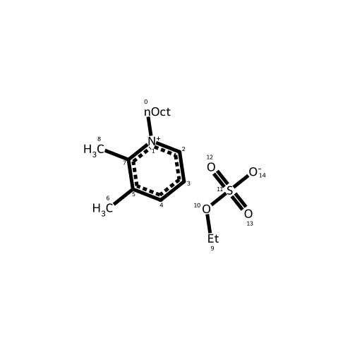 CCCCCCCC[n+]1cccc(C)c1C.CCOS(=O)(=O)[O-]